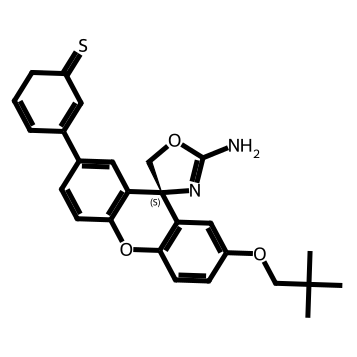 CC(C)(C)COc1ccc2c(c1)[C@]1(COC(N)=N1)c1cc(C3=CC(=S)CC=C3)ccc1O2